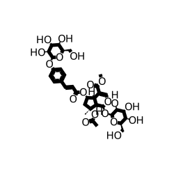 COC(=O)C1=CO[C@@H](O[C@@H]2O[C@H](CO)[C@@H](O)[C@H](O)[C@H]2O)[C@H]2[C@@H]1[C@H](OC(=O)/C=C/c1ccc(O[C@@H]3O[C@H](CO)[C@@H](O)[C@H](O)[C@H]3O)cc1)C[C@]2(C)OC(C)=O